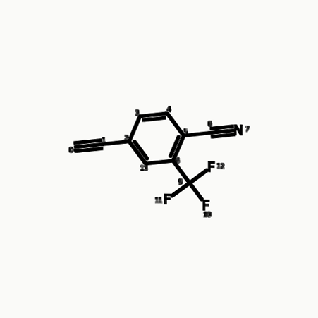 [C]#Cc1ccc(C#N)c(C(F)(F)F)c1